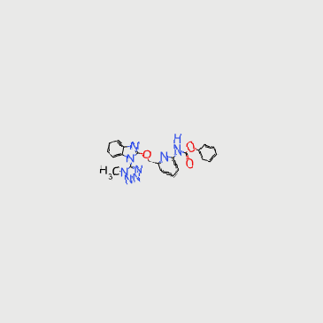 Cn1nnnc1-n1c(OCc2cccc(NC(=O)Oc3ccccc3)n2)nc2ccccc21